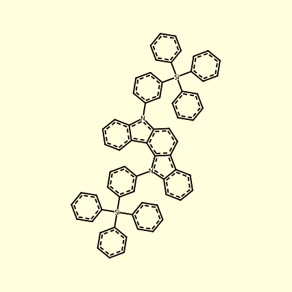 c1ccc([Si](c2ccccc2)(c2ccccc2)c2cccc(-n3c4ccccc4c4c3ccc3c5ccccc5n(-c5cccc([Si](c6ccccc6)(c6ccccc6)c6ccccc6)c5)c34)c2)cc1